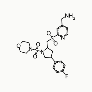 NCc1ccnc(S(=O)(=O)CC2CC(c3ccc(F)cc3)CN2S(=O)(=O)N2CCOCC2)c1